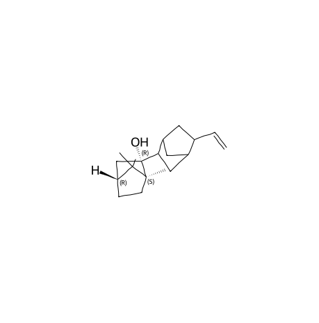 C=CC1CC2CC1CC2[C@]1(O)C[C@H]2CC[C@@]1(C)C2(C)C